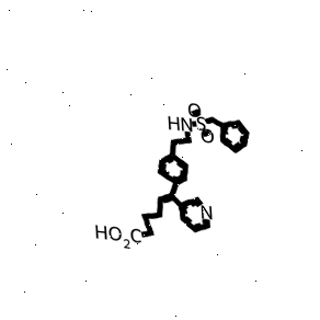 O=C(O)CCC/C=C(/c1ccc(CCNS(=O)(=O)Cc2ccccc2)cc1)c1cccnc1